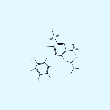 NS(=O)(=O)c1cc2c(cc1Cl)NC(C(Cl)Cl)NS2(=O)=O.O=[N+]([O-])c1c(Cl)c(Cl)c(Cl)c(Cl)c1Cl